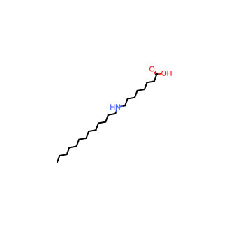 CCCCCCCCCCCCCNCCCCCCCC(=O)O